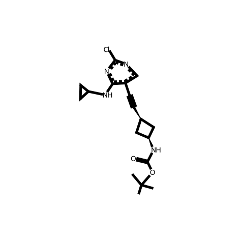 CC(C)(C)OC(=O)N[C@H]1C[C@@H](C#Cc2cnc(Cl)nc2NC2CC2)C1